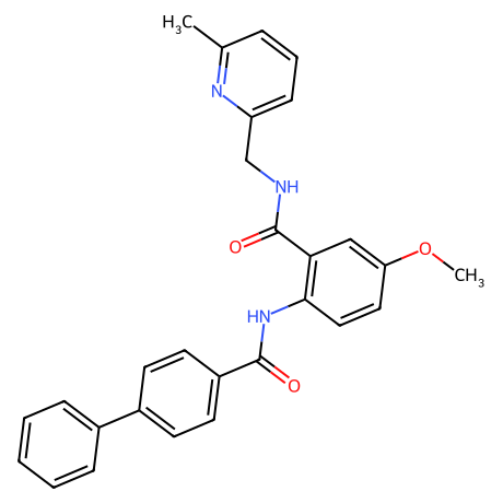 COc1ccc(NC(=O)c2ccc(-c3ccccc3)cc2)c(C(=O)NCc2cccc(C)n2)c1